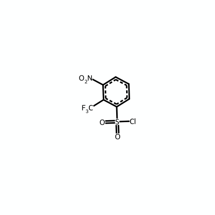 O=[N+]([O-])c1cccc(S(=O)(=O)Cl)c1C(F)(F)F